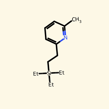 CC[Si](CC)(CC)CCc1cccc(C)n1